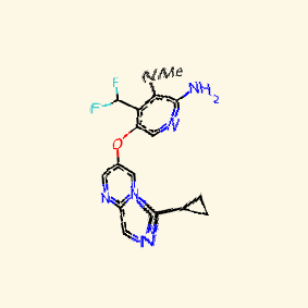 CNc1c(N)ncc(Oc2cnc3cnc(C4CC4)n3c2)c1C(F)F